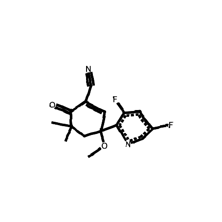 COC1(c2ncc(F)cc2F)C=C(C#N)C(=O)C(C)(C)C1